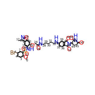 COc1ccc(Br)cc1S(=O)(=O)Nc1cc2c(C)noc2cc1OCC(=O)NCCCCCNc1ccc2c(c1)C(=O)N(C1CCC(=O)NC1=O)C2=O